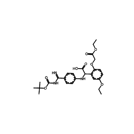 CCOC(=O)COc1ccc(OCC)cc1C(Nc1ccc(C(=N)NC(=O)OC(C)(C)C)cc1)C(=O)O